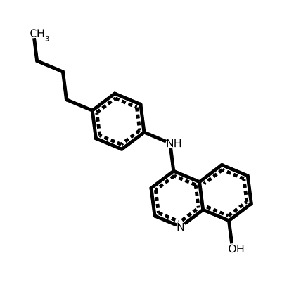 CCCCc1ccc(Nc2ccnc3c(O)cccc23)cc1